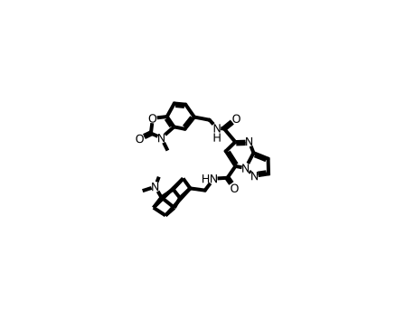 CN(C)C12C3C4C1C1C2C3C41CNC(=O)c1cc(C(=O)NCc2ccc3oc(=O)n(C)c3c2)nc2ccnn12